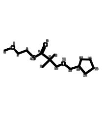 COCCSC(=O)C(C)(C)COCC1CCCC1